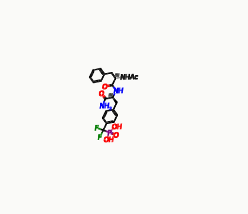 CC(=O)N[C@@H](Cc1ccccc1)C(=O)N[C@@H](Cc1ccc(C(F)(F)P(=O)(O)O)cc1)C(N)=O